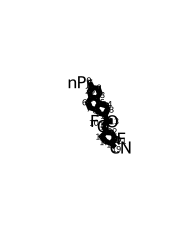 CCCc1ccc2c(ccc3c(F)c(C(=O)Oc4ccc(C#N)c(F)c4)ccc32)c1